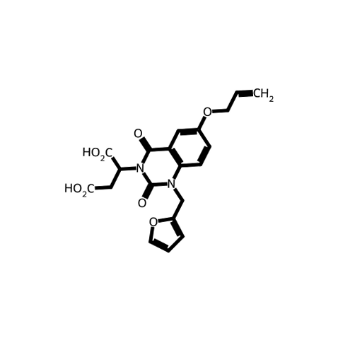 C=CCOc1ccc2c(c1)c(=O)n(C(CC(=O)O)C(=O)O)c(=O)n2Cc1ccco1